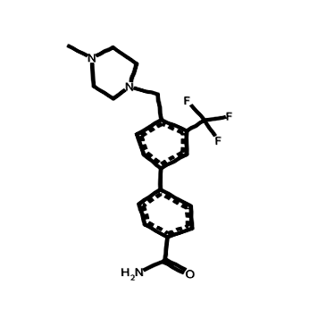 CN1CCN(Cc2ccc(-c3ccc(C(N)=O)cc3)cc2C(F)(F)F)CC1